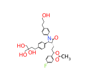 CC(=O)OC(CC[C@H]1C(=O)N(c2ccc(CCCO)cc2)[C@@H]1c1ccc(CCC(O)(CO)CO)cc1)c1ccc(F)cc1